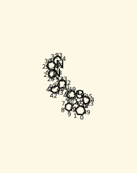 c1ccc(C2(c3ccccc3)c3ccccc3Oc3cc(-c4ccc(-c5ccc6ccc7cccnc7c6n5)c5ccccc45)ccc32)cc1